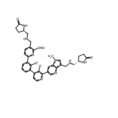 COc1nc(-c2cccc(-c3ccnc(-c4cnc5c(CNC[C@@H]6CCC(=O)N6)cn(C)c5c4)c3Cl)c2Cl)ccc1CNC[C@H]1CCC(=O)N1